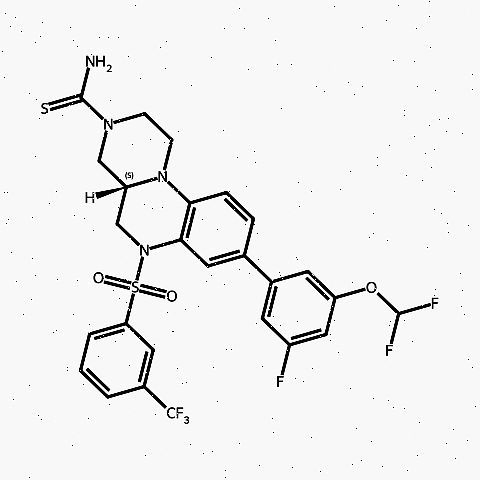 NC(=S)N1CCN2c3ccc(-c4cc(F)cc(OC(F)F)c4)cc3N(S(=O)(=O)c3cccc(C(F)(F)F)c3)C[C@@H]2C1